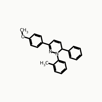 COc1ccc(C2=NN(c3ccccc3C)C(c3ccccc3)C=C2)cc1